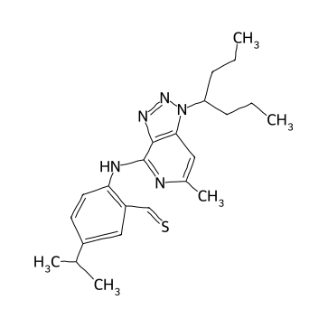 CCCC(CCC)n1nnc2c(Nc3ccc(C(C)C)cc3C=S)nc(C)cc21